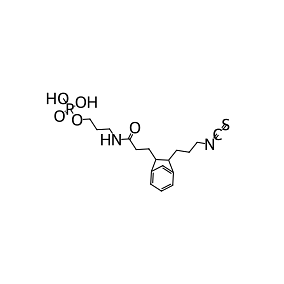 O=C(CCC1c2cccc(c2)C1CCCN=C=S)NCCCOP(=O)(O)O